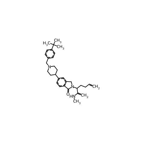 C=CCCC(C(=C)NC)N1Cc2cc(C3CCN(Cc4ccc(C(C)(C)C)cc4)CC3)ccc2C1=O